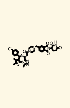 Cc1sc2c(c1C)C(c1ccc(Cl)cc1)=N[C@@H](CC(=O)N1CCN(Cc3ccc4c(c3)C(=O)N(C3CCC(=O)NC3=O)C4=O)CC1)c1nnc(C)n1-2